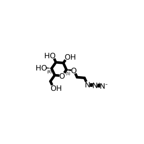 [N-]=[N+]=NCCO[C@H]1OC(CO)[C@H](O)C(O)C1O